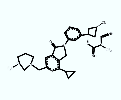 CN(C=N)C(=N)C[C@]1(c2cccc(N3Cc4c(cc(CN5CCC[C@H](C(F)(F)F)C5)nc4C4CC4)C3=O)c2)C[C@H](C#N)C1